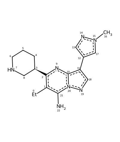 CCc1c([C@@H]2CCCNC2)nc2c(-c3cnn(C)c3)cnn2c1N